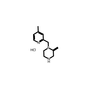 C=C1CNCCN1Cc1cc(C)ccn1.Cl